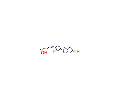 CC(O)CCC/C=C/c1ccc(-c2ccc3cc(O)ccc3n2)cc1F